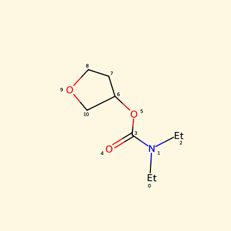 CCN(CC)C(=O)OC1CCOC1